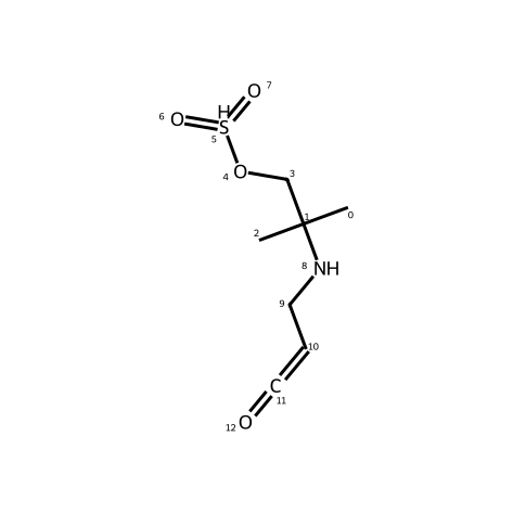 CC(C)(CO[SH](=O)=O)NCC=C=O